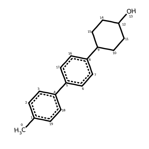 Cc1ccc(-c2ccc(C3CCC(O)CC3)cc2)cc1